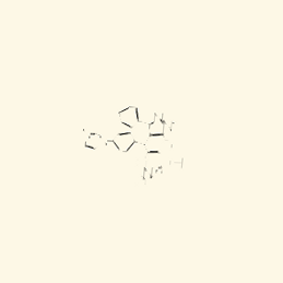 Cn1nc(-c2ccccc2)c2c1OC(O)=C(O[N+](=O)[O-])C2c1ccc(-n2ccnc2)cc1